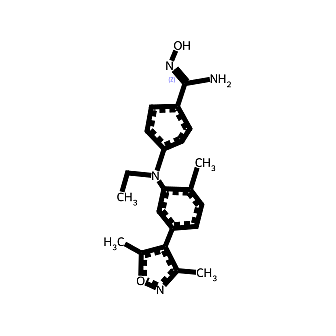 CCN(c1ccc(/C(N)=N/O)cc1)c1cc(-c2c(C)noc2C)ccc1C